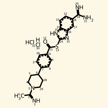 CC(=N)N1CCC(c2ccc(C(=O)Sc3nc4cc(C(=N)N)ccc4[nH]3)cc2)CC1.Cl.Cl